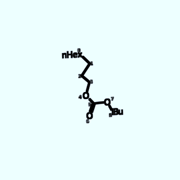 CCCCCCCCCOC(=O)OC(C)CC